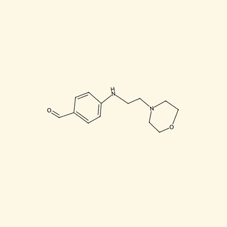 O=Cc1ccc(NCCN2CCOCC2)cc1